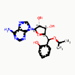 CC(C)OC(c1ccccc1O)[C@H]1O[C@@H](n2cnc3c(N)ncnc32)[C@H](O)[C@@H]1O